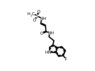 CS(=O)(=O)NC=CC(=O)NCCc1c[nH]c2cc(F)ccc12